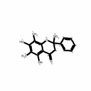 Cc1c(O)c(C)c2c(c1O)C(=O)CC(c1ccccc1)([N+](=O)[O-])O2